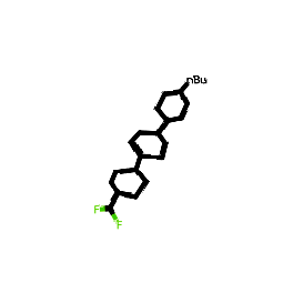 CCCCC1CCC(C2CC=C(C3CCC(C(F)F)CC3)CC2)CC1